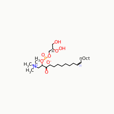 CCCCCCCC/C=C\CCCCCCCC(=O)C(C[N+](C)(C)C)OP(=O)([O-])OC[C@@H](CO)OO